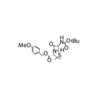 COc1ccc(COC(=O)[C@@H]2N3C(=O)[C@@H](NC(=O)OC(C)(C)C)[C@H]3SC2(C)C)cc1